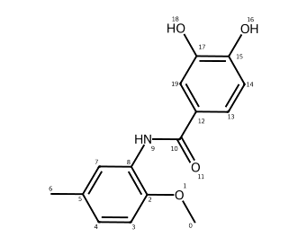 COc1ccc(C)cc1NC(=O)c1ccc(O)c(O)c1